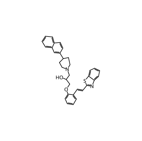 OC(COc1ccccc1C=Cc1nc2ccccc2s1)CN1CCC(c2ccc3ccccc3c2)CC1